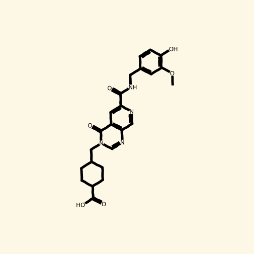 COc1cc(CNC(=O)c2cc3c(=O)n(CC4CCC(C(=O)O)CC4)cnc3cn2)ccc1O